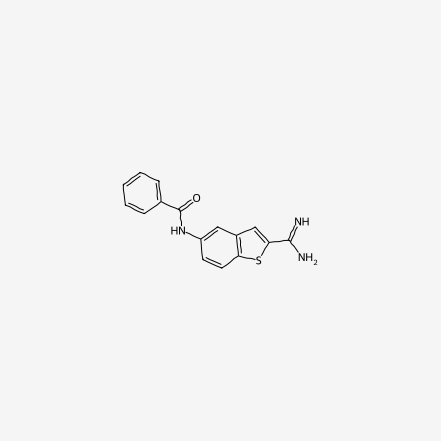 N=C(N)c1cc2cc(NC(=O)c3ccccc3)ccc2s1